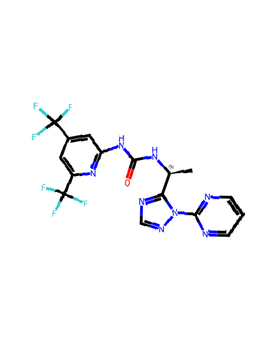 C[C@H](NC(=O)Nc1cc(C(F)(F)F)cc(C(F)(F)F)n1)c1ncnn1-c1ncccn1